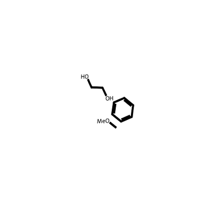 COC.OCCO.c1ccccc1